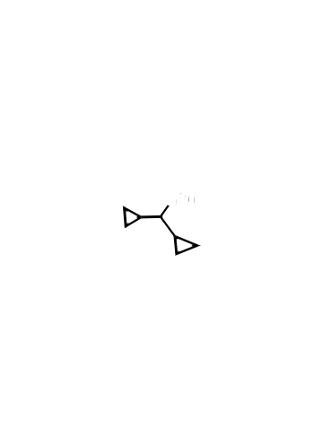 CCCCC(C1CC1)C1CC1